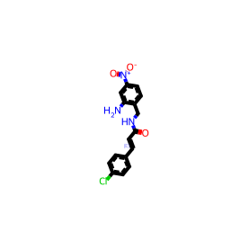 Nc1cc([N+](=O)[O-])ccc1CNC(=O)/C=C/c1ccc(Cl)cc1